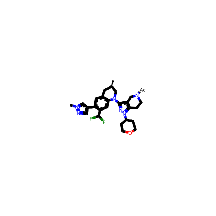 CC(=O)N1CCc2c(c(N3C[C@H](C)Cc4cc(-c5cnn(C)c5)c(C(F)F)cc43)nn2C2CCOCC2)C1